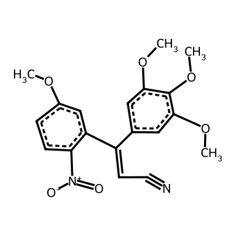 COc1ccc([N+](=O)[O-])c(/C(=C/C#N)c2cc(OC)c(OC)c(OC)c2)c1